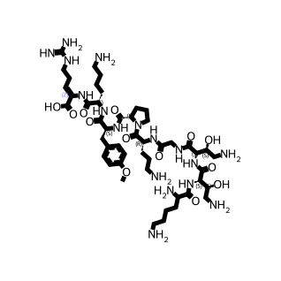 COc1ccc(C[C@H](NC(=O)[C@@H]2CCCN2C(=O)[C@@H](CCCN)NC(=O)CNC(=O)[C@@H](NC(=O)[C@@H](NC(=O)C(N)CCCCN)[C@@H](O)CN)[C@@H](O)CN)C(=O)N[C@@H](CCCCN)C(=O)N/C(=C\CCNC(=N)N)C(=O)O)cc1